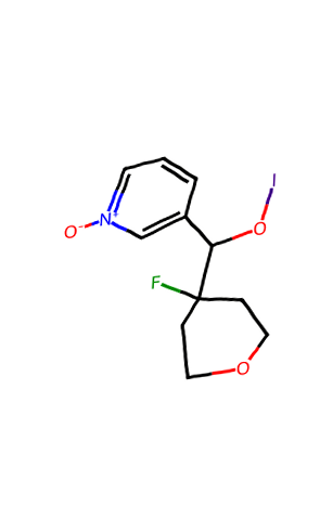 [O-][n+]1cccc(C(OI)C2(F)CCOCC2)c1